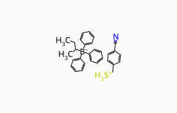 CCC(C)[B-](c1ccccc1)(c1ccccc1)c1ccccc1.N#Cc1ccc(C[SH2+])cc1